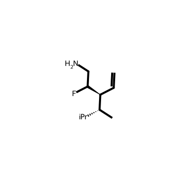 C=C[C@H](C(F)CN)[C@H](C)C(C)C